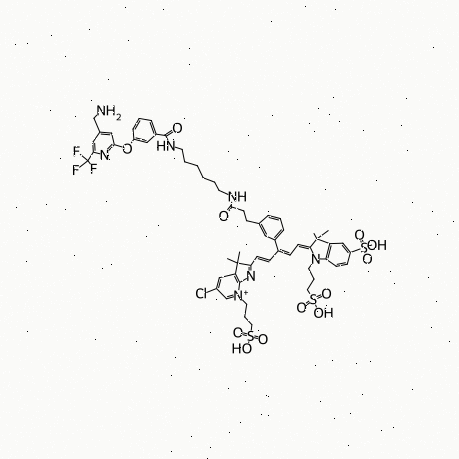 CC1(C)C(/C=C/C(=C/C=C2\N(CCCS(=O)(=O)O)c3ccc(S(=O)(=O)O)cc3C2(C)C)c2cccc(CCC(=O)NCCCCCCNC(=O)c3cccc(Oc4cc(CN)cc(C(F)(F)F)n4)c3)c2)=Nc2c1cc(Cl)c[n+]2CCCS(=O)(=O)O